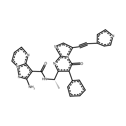 C[C@H](NC(=O)c1c(N)nn2cccnc12)c1nc2scc(C#Cc3ccncc3)n2c(=O)c1-c1ccccc1